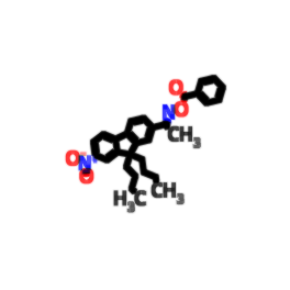 CCCCC1(CCCC)c2cc(/C(C)=N/OC(=O)c3ccccc3)ccc2-c2ccc([N+](=O)[O-])cc21